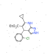 CCOC(=O)C1=C(C2CC2)Nc2n[nH]cc2C1c1ccccc1Cl